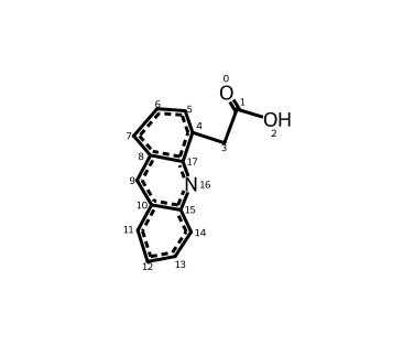 O=C(O)Cc1cccc2cc3ccccc3nc12